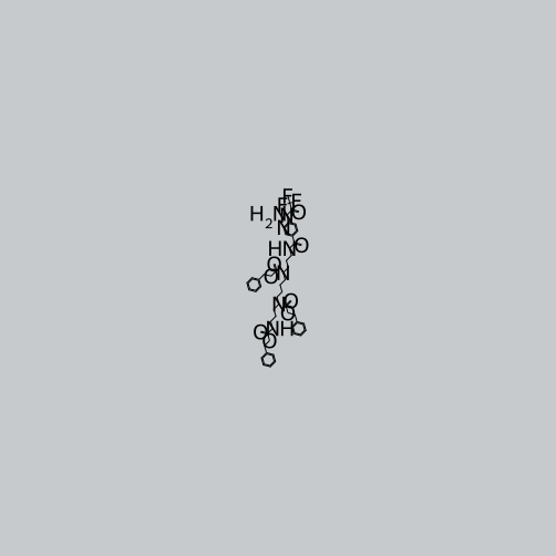 NN(C(=O)C(F)(F)F)c1ccc(C(=O)NCCCN(CCCCN(CCCNC(=O)OCc2ccccc2)C(=O)OCc2ccccc2)C(=O)OCc2ccccc2)cn1